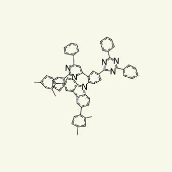 Cc1ccc(-c2ccc3c(c2)c2cc(-c4ccc(C)cc4C)ccc2n3-c2ccc(-c3nc(-c4ccccc4)nc(-c4ccccc4)n3)cc2-c2cc(-c3ccccc3)nc(-c3ccccc3)n2)c(C)c1